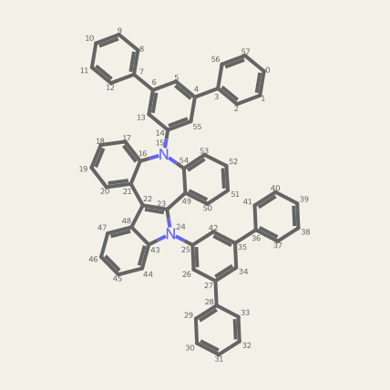 c1ccc(-c2cc(-c3ccccc3)cc(N3c4ccccc4-c4c(n(-c5cc(-c6ccccc6)cc(-c6ccccc6)c5)c5ccccc45)-c4ccccc43)c2)cc1